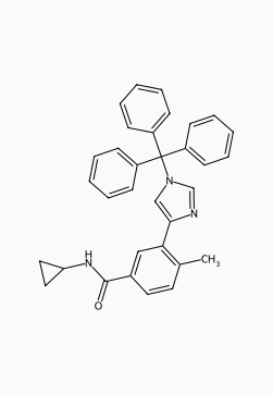 Cc1ccc(C(=O)NC2CC2)cc1-c1cn(C(c2ccccc2)(c2ccccc2)c2ccccc2)cn1